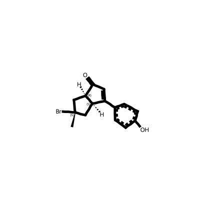 C[C@]1(Br)C[C@@H]2C(c3ccc(O)cc3)=CC(=O)[C@@H]2C1